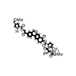 COC[C@@H]1CN[C@H](C(=O)OCC(=O)c2ccc3c(c2)COc2cc4c(cc2-3)CCC(OC(=O)[C@@H]2CC[C@H](C)N2C(=O)[C@@H](NC(=O)OC)C(C)C)C4=O)C1